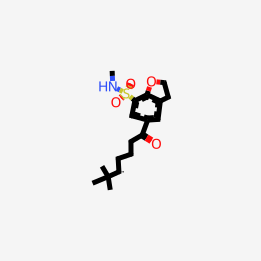 CNS(=O)(=O)c1cc(C(=O)CCC[CH]C(C)(C)C)cc2c1OCC2